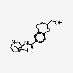 O=C(N[C@H]1CN2CCC1CC2)c1ccc2c(c1)OCC(CO)O2